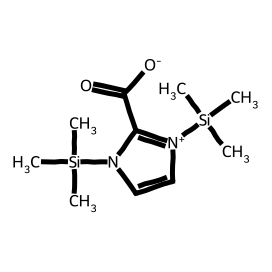 C[Si](C)(C)n1cc[n+]([Si](C)(C)C)c1C(=O)[O-]